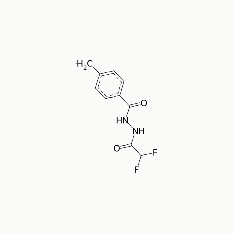 [CH2]c1ccc(C(=O)NNC(=O)C(F)F)cc1